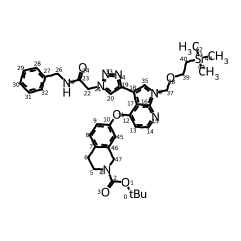 CC(C)(C)OC(=O)N1CCc2ccc(Oc3ccnc4c3c(-c3cn(CC(=O)NCc5ccccc5)nn3)cn4COCC[Si](C)(C)C)cc2C1